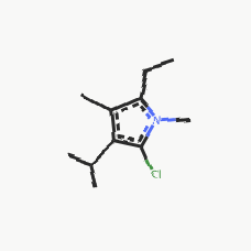 CCc1c(C)c(C(C)C)c(Cl)n1C